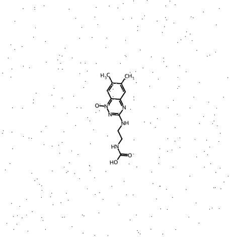 Cc1cc2nc(NCCNC(=O)O)n[n+]([O-])c2cc1C